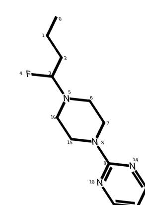 [CH2]CCC(F)N1CCN(c2ncccn2)CC1